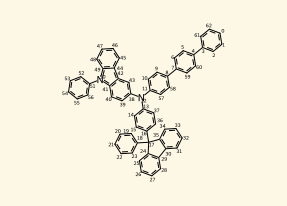 c1ccc(-c2ccc(-c3ccc(N(c4ccc(C5(c6ccccc6)c6ccccc6-c6ccccc65)cc4)c4ccc5c(c4)c4ccccc4n5-c4ccccc4)cc3)cc2)cc1